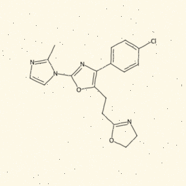 Cc1nccn1-c1nc(-c2ccc(Cl)cc2)c(CCC2=NCCO2)o1